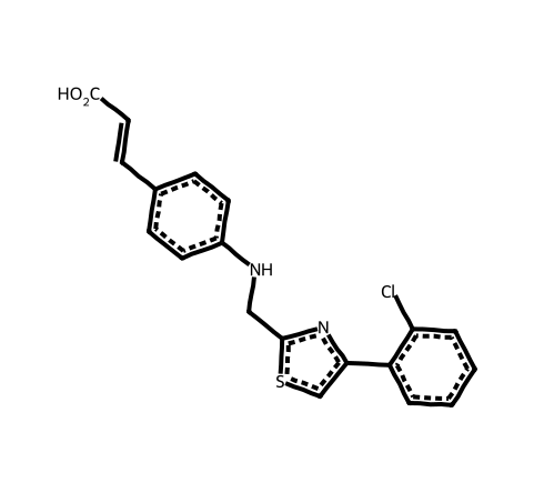 O=C(O)/C=C/c1ccc(NCc2nc(-c3ccccc3Cl)cs2)cc1